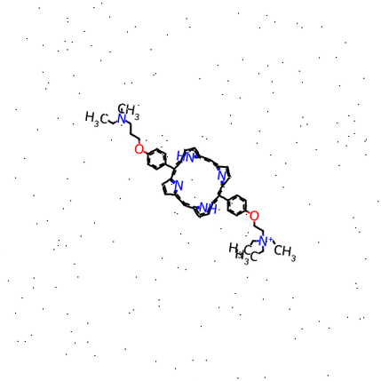 CCN(C)CCCOc1ccc(-c2c3nc(cc4ccc([nH]4)c(-c4ccc(OCC[N+](CC)(CC)CC)cc4)c4nc(cc5ccc2[nH]5)C=C4)C=C3)cc1